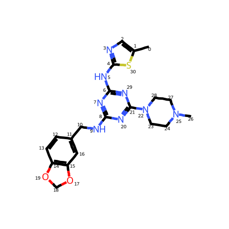 Cc1cnc(Nc2nc(NCc3ccc4c(c3)OCO4)nc(N3CCN(C)CC3)n2)s1